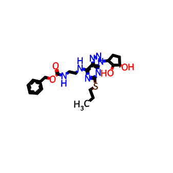 CCCSc1nc(NCCNC(=O)OCc2ccccc2)c2nnn(C3CC[C](O)C3O)c2n1